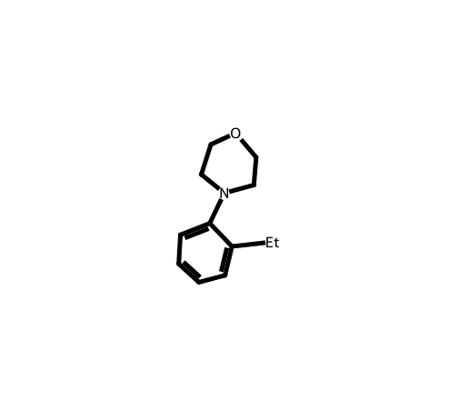 [CH2]Cc1ccccc1N1CCOCC1